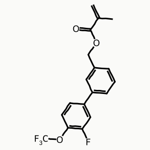 C=C(C)C(=O)OCc1cccc(-c2ccc(OC(F)(F)F)c(F)c2)c1